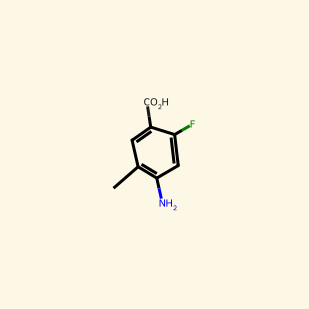 Cc1cc(C(=O)O)c(F)cc1N